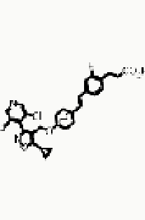 O=C(O)CCc1ccc(C=CC23CCC(OCc4c(-c5c(Cl)cncc5Cl)noc4C4CC4)(CC2)CC3)cc1F